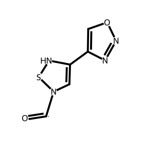 O=[C]N1C=C(c2conn2)NS1